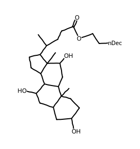 CCCCCCCCCCCCOC(=O)CCC(C)C1CCC2C3C(O)CC4CC(O)CCC4(C)C3CC(O)C12C